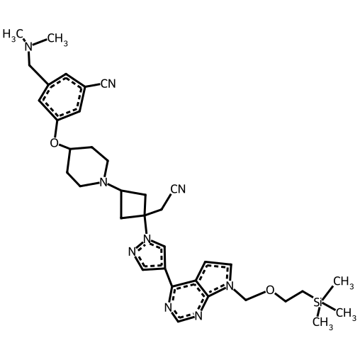 CN(C)Cc1cc(C#N)cc(OC2CCN(C3CC(CC#N)(n4cc(-c5ncnc6c5ccn6COCC[Si](C)(C)C)cn4)C3)CC2)c1